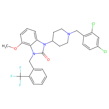 COc1cccc2c1n(Cc1ccccc1C(F)(F)F)c(=O)n2C1CCN(Cc2ccc(Cl)cc2Cl)CC1